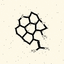 CC(C)=CC1CCC2CCC3COC4CCC5CCC(C)C6C1C2C3C4C56